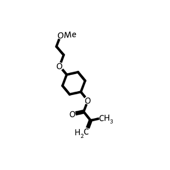 C=C(C)C(=O)OC1CCC(OCCOC)CC1